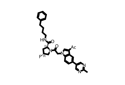 CC(=O)c1cn(CC(=O)N2C[C@H](F)C[C@H]2C(=O)NCCCCc2ccccc2)c2ccc(-c3cnc(C)nc3)cc12